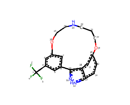 FC(F)(F)c1cc2cc(c1)-c1n[nH]c3ccc(cc13)OCCCNCCO2